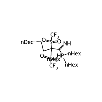 CCCCCCCCCCCCC(C(=N)[PH](CCCCCC)(CCCCCC)CCCCCC)(S(=O)(=O)C(F)(F)F)S(=O)(=O)C(F)(F)F